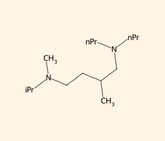 CCCN(CCC)CC(C)CCN(C)C(C)C